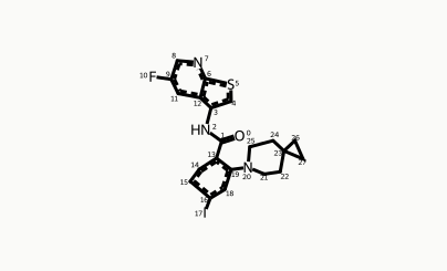 O=C(Nc1csc2ncc(F)cc12)c1ccc(I)cc1N1CCC2(CC1)CC2